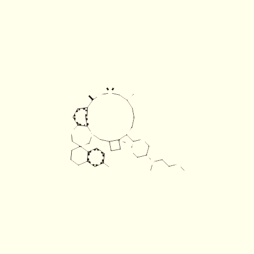 COCCN(C)[C@H]1CO[C@@H]([C@@H]2CCC[C@H](C)[C@@H](C)S(=O)(=O)NC(=O)c3ccc4c(c3)N(C[C@@H]3CC[C@H]32)C[C@@]2(CCCc3cc(Cl)ccc32)CO4)OC1